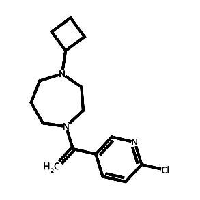 C=C(c1ccc(Cl)nc1)N1CCCN(C2CCC2)CC1